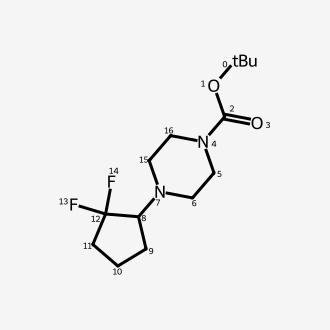 CC(C)(C)OC(=O)N1CCN(C2CCCC2(F)F)CC1